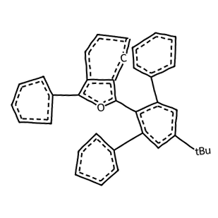 CC(C)(C)c1cc(-c2ccccc2)c(-c2oc(-c3ccccc3)c3ccccc23)c(-c2ccccc2)c1